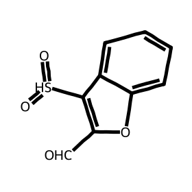 O=Cc1oc2ccccc2c1[SH](=O)=O